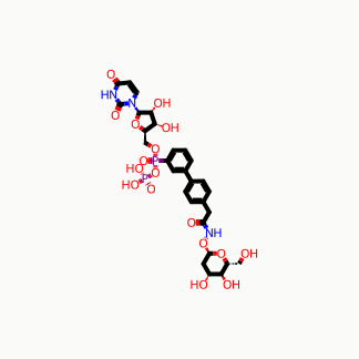 O=C(Cc1ccc(-c2cccc(P(=O)(OC[C@H]3O[C@@H](n4ccc(=O)[nH]c4=O)[C@H](O)[C@@H]3O)OP(=O)(O)O)c2)cc1)NO[C@@H]1C[C@@H](O)[C@H](O)[C@@H](CO)O1